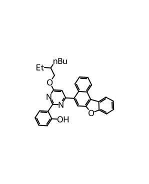 CCCCC(CC)COc1cc(-c2cc3oc4ccccc4c3c3ccccc23)nc(-c2ccccc2O)n1